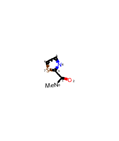 CNC(=O)c1nccs1